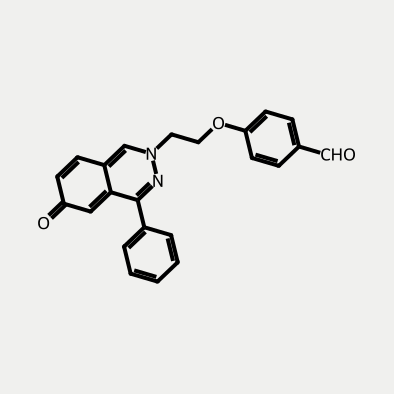 O=Cc1ccc(OCCn2cc3ccc(=O)cc-3c(-c3ccccc3)n2)cc1